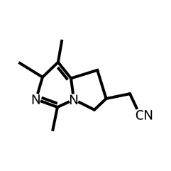 CC1=NC(C)C(C)=C2CC(CC#N)CN12